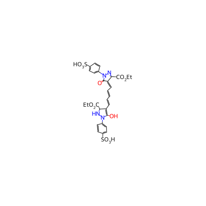 CCOC(=O)C1=NN(c2ccc(S(=O)(=O)O)cc2)C(=O)C1=CC=CC=CC1=C(O)N(c2ccc(S(=O)(=O)O)cc2)NC1C(=O)OCC